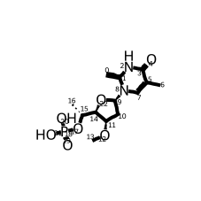 C=C1NC(=O)C(C)=CN1[C@H]1C[C@@H](OC)[C@@H]([C@@H](C)OP(=O)(O)O)O1